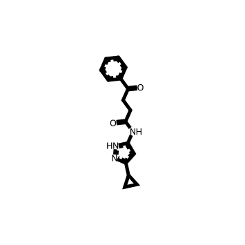 O=C(CCC(=O)c1ccccc1)Nc1cc(C2CC2)n[nH]1